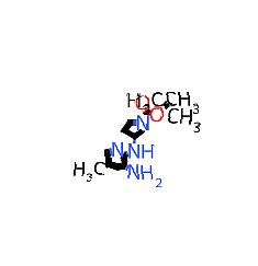 Cc1cnc(N[C@H]2CCN(C(=O)OC(C)(C)C)C2)c(N)c1